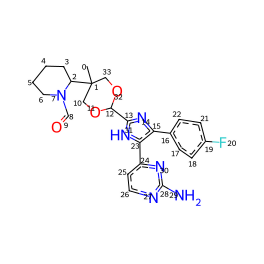 CC1(C2CCCCN2C=O)COC(c2nc(-c3ccc(F)cc3)c(-c3ccnc(N)n3)[nH]2)OC1